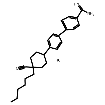 CCCCCCC1(C#N)CCC(c2ccc(-c3ccc(C(=N)N)cc3)cc2)CC1.Cl